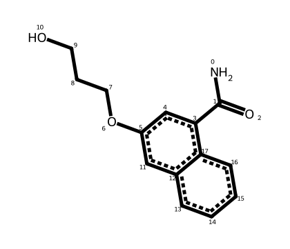 NC(=O)c1[c]c(OCCCO)cc2ccccc12